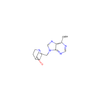 COc1ncnc2c1ncn2CC1C(=O)C2CCN1CC2